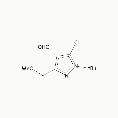 COCc1nn(C(C)(C)C)c(Cl)c1C=O